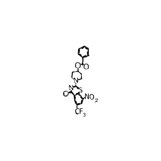 O=C(OC1CCN(c2nc(=O)c3cc(C(F)(F)F)cc([N+](=O)[O-])c3s2)CC1)c1ccccc1